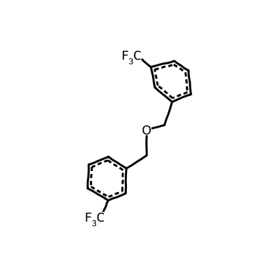 FC(F)(F)c1cccc(COCc2cccc(C(F)(F)F)c2)c1